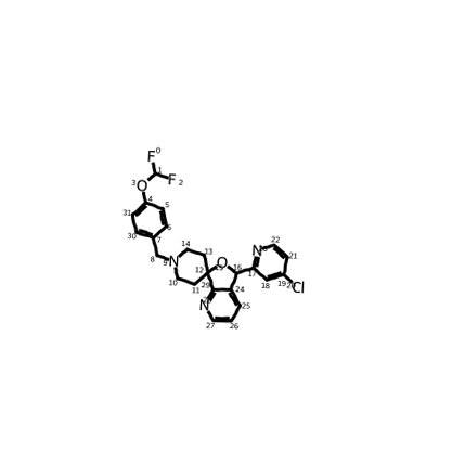 FC(F)Oc1ccc(CN2CCC3(CC2)OC(c2cc(Cl)ccn2)c2cccnc23)cc1